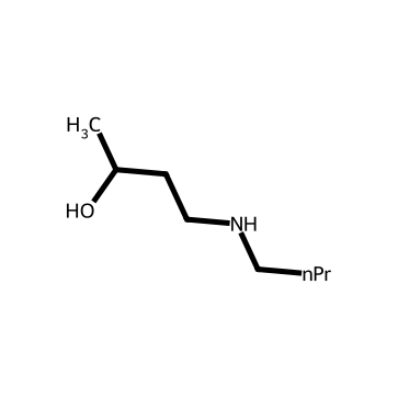 CCCCNCCC(C)O